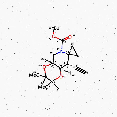 C#C[C@@H]1[C@H]2OC(C)(OC)C(C)(OC)O[C@@H]2CN(C(=O)OC(C)(C)C)C12CC2